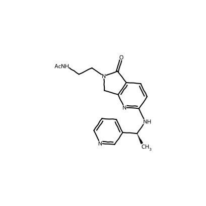 CC(=O)NCCN1Cc2nc(N[C@@H](C)c3cccnc3)ccc2C1=O